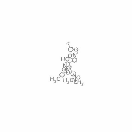 Cc1ccc(S(=O)(=O)n2c(C3=CCN(C(=O)N(C)C)CC3)cc3c(-c4cccc(N5CCOc6cc(C7CC7)ccc6C5=O)c4CO)ccnc32)cc1